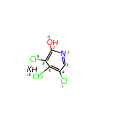 Oc1ncc(Cl)c(Cl)c1Cl.[KH]